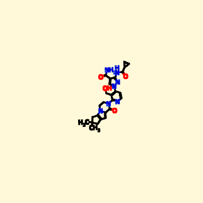 CC1(C)Cc2cc3n(c2C1)CCN(c1nccc(-n2cc(C(N)=O)c(NC(=O)C4CC4)n2)c1CO)C3=O